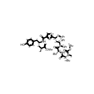 C=C(OC)[C@@H](C)C[C@H](Cc1ccc(O)cc1)NC(=O)c1csc([C@@H](C[C@H](C(C)C)N(CCC)C(=O)[C@@H](NC(=O)[C@@H]([C@@H](C)CC)N(C)C(=O)OC(C)(C)C)[C@@H](C)CC)OCCC)n1